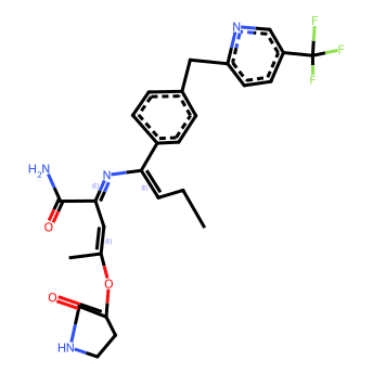 CC/C=C(/N=C(\C=C(/C)OC1CCNC1=O)C(N)=O)c1ccc(Cc2ccc(C(F)(F)F)cn2)cc1